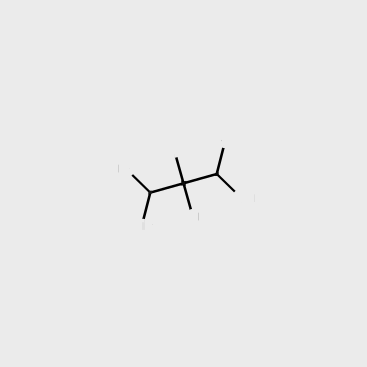 CC(C)C(O)C(C)(C)C(O)O